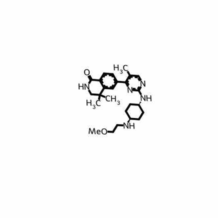 COCCN[C@H]1CC[C@H](Nc2ncc(C)c(-c3ccc4c(c3)C(C)(C)CNC4=O)n2)CC1